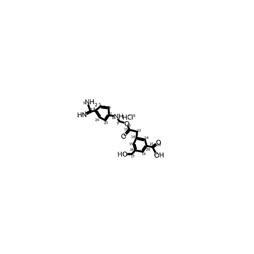 Cl.N=C(N)c1ccc(NCOC(=O)Cc2cc(CO)cc(C(=O)O)c2)cc1